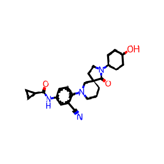 N#Cc1cc(NC(=O)C2CC2)ccc1N1CCC[C@]2(CCN(C3CCC(O)CC3)C2=O)C1